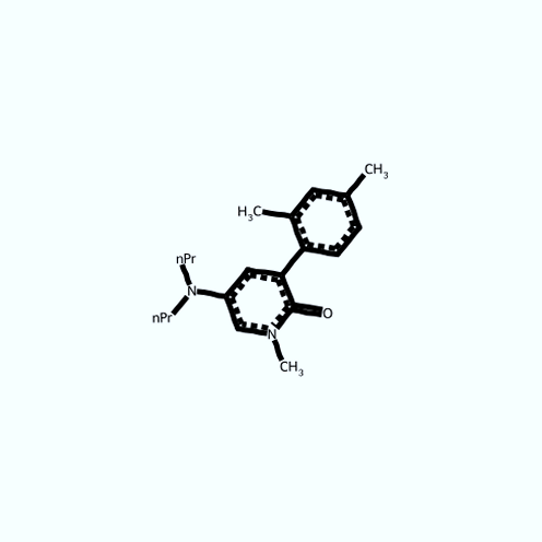 CCCN(CCC)c1cc(-c2ccc(C)cc2C)c(=O)n(C)c1